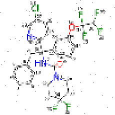 O=C(N[C@@](Cc1ccccc1)(c1cccc(OC(F)(F)C(F)F)c1)c1ccc(Cl)cn1)N1CCC(F)(F)CC1